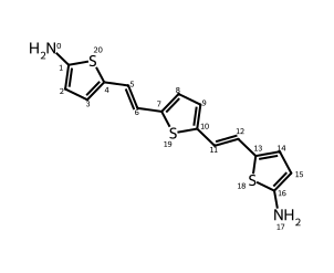 Nc1ccc(/C=C/c2ccc(/C=C/c3ccc(N)s3)s2)s1